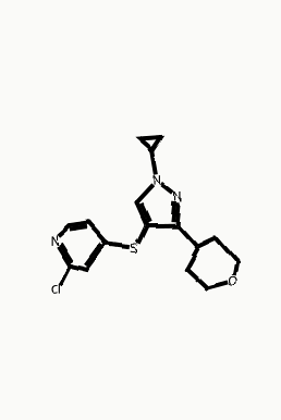 Clc1cc(Sc2cn(C3CC3)nc2C2CCOCC2)ccn1